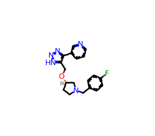 Fc1ccc(CN2CC[C@H](OCc3[nH]nnc3-c3cccnc3)C2)cc1